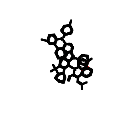 C=C/C(=C(\C=C(C)C)c1ccccc1)N(c1ccc(C)cc1)c1c2c(cc3c4cc(N(c5ccc(C)cc5)c5ccc(C)cc5-c5ccccc5)ccc4n(-c4ccccc4)c13)C(C)(C)c1ccccc1-2